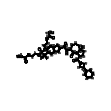 CC(C)(C)C(=O)SCCOP(=O)(OCCSC(=O)C(C)(C)C)C(F)(F)c1ccc2sc(C(=O)NC3CCC[C@H]4CC[C@@H](C(=O)N5CC(c6cccnc6)C5)N4C3=O)cc2c1